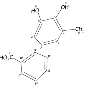 Cc1cccc(O)c1O.O=C(O)c1ccccc1